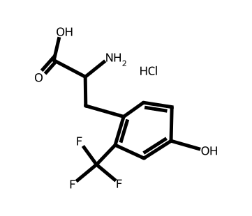 Cl.NC(Cc1ccc(O)cc1C(F)(F)F)C(=O)O